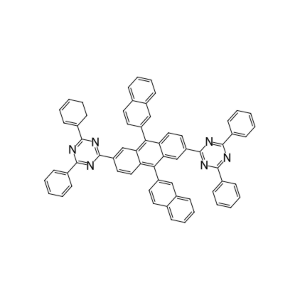 C1=CCCC(c2nc(-c3ccccc3)nc(-c3ccc4c(-c5ccc6ccccc6c5)c5cc(-c6nc(-c7ccccc7)nc(-c7ccccc7)n6)ccc5c(-c5ccc6ccccc6c5)c4c3)n2)=C1